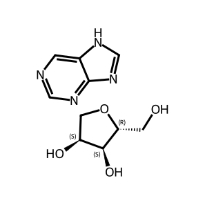 OC[C@H]1OC[C@H](O)[C@@H]1O.c1ncc2[nH]cnc2n1